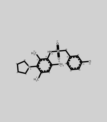 Cc1cc(C)c(N2CCCC2)c(C)c1NS(=O)(=O)Cc1cccc(Cl)c1